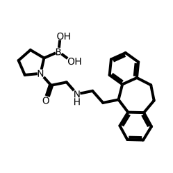 O=C(CNCCC1c2ccccc2CCc2ccccc21)N1CCCC1B(O)O